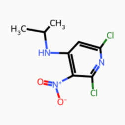 CC(C)Nc1cc(Cl)nc(Cl)c1[N+](=O)[O-]